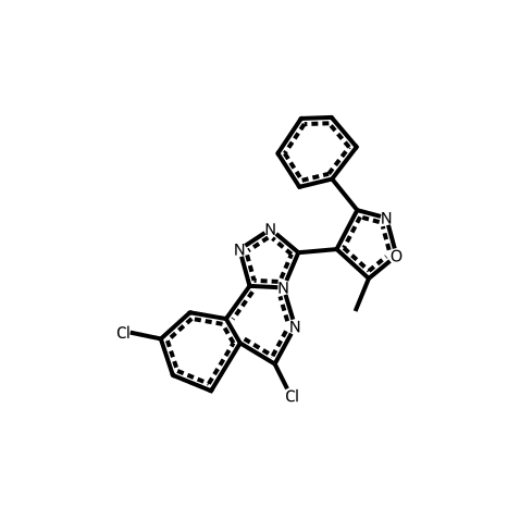 Cc1onc(-c2ccccc2)c1-c1nnc2c3cc(Cl)ccc3c(Cl)nn12